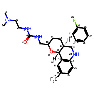 CN(C)CCNC(=O)NC[C@H]1CC[C@@H]2[C@H](O1)c1cc(C(F)(F)F)ccc1N[C@H]2c1cccc(F)c1